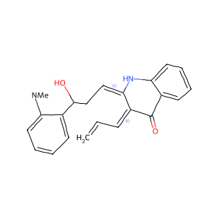 C=C/C=c1/c(=O)c2ccccc2[nH]/c1=C/CC(O)c1ccccc1NC